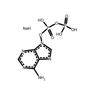 Nc1ncnc2c1ncn2OP(=O)(O)OP(=O)(O)O.[NaH]